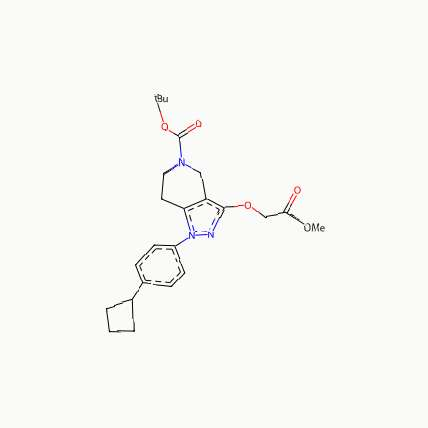 COC(=O)COc1nn(-c2ccc(C3CCC3)cc2)c2c1CN(C(=O)OC(C)(C)C)CC2